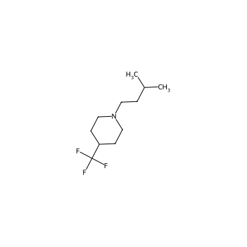 CC(C)CCN1CCC(C(F)(F)F)CC1